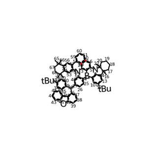 Cc1cc2c3c(c1)N1c4c(cc(C(C)(C)C)cc4C4(C)CCCCC14C)B3c1ccc(C(c3ccc(C(C)(C)C)cc3)c3cccc4oc5ccccc5c34)cc1N2c1cc2c(cc1-c1ccccc1)C(C)(C)CCC2(C)C